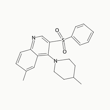 Cc1ccc2ncc(S(=O)(=O)c3ccccc3)c(N3CCC(C)CC3)c2c1